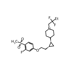 CCC(F)(F)CN1CCC([C@H]2C[C@H]2CCOc2ccc(S(C)(=O)=O)c(F)c2)CC1